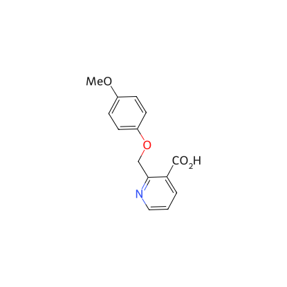 COc1ccc(OCc2ncccc2C(=O)O)cc1